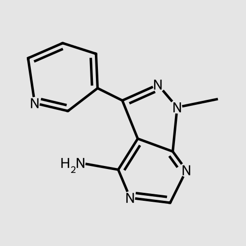 Cn1nc(-c2cccnc2)c2c(N)ncnc21